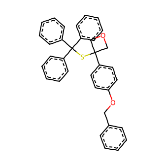 c1ccc(COc2ccc(C3(SC(c4ccccc4)(c4ccccc4)c4ccccc4)COC3)cc2)cc1